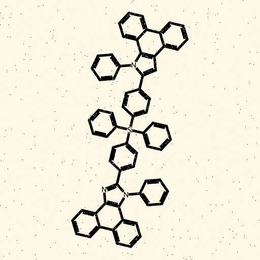 c1ccc(-n2c(-c3ccc([Si](c4ccccc4)(c4ccccc4)c4ccc(-c5nc6c7ccccc7c7ccccc7c6n5-c5ccccc5)cc4)cc3)cc3c4ccccc4c4ccccc4c32)cc1